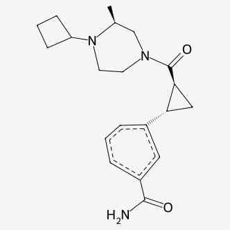 C[C@H]1CN(C(=O)[C@H]2C[C@@H]2c2cccc(C(N)=O)c2)CCN1C1CCC1